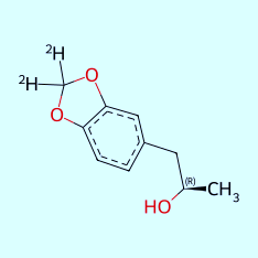 [2H]C1([2H])Oc2ccc(C[C@@H](C)O)cc2O1